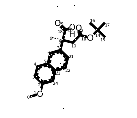 COc1ccc2cc([C@](C)(CC(=O)OC(C)(C)C)C(=O)O)ccc2c1